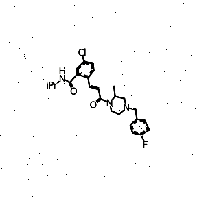 CC(C)NC(=O)c1cc(Cl)ccc1C=CC(=O)N1CCN(Cc2ccc(F)cc2)CC1C